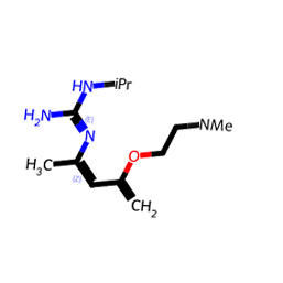 C=C(/C=C(C)\N=C(/N)NC(C)C)OCCNC